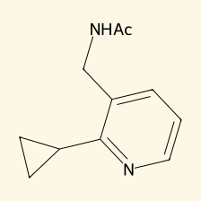 CC(=O)NCc1cccnc1C1CC1